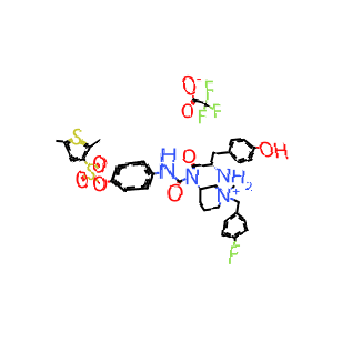 Cc1cc(S(=O)(=O)Oc2ccc(NC(=O)N(C(=O)[C@@H](N)Cc3ccc(O)cc3)[C@H]3CCC[N+](C)(Cc4ccc(F)cc4)C3)cc2)c(C)s1.O=C([O-])C(F)(F)F